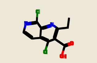 CCc1nc2c(Cl)nccc2c(Cl)c1C(=O)O